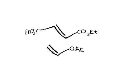 C=COC(C)=O.CCOC(=O)C=CC(=O)OCC